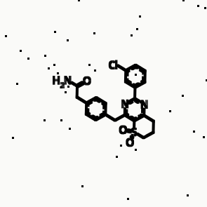 NC(=O)Cc1ccc(Cc2nc(-c3cccc(Cl)c3)nc3c2S(=O)(=O)CCC3)cc1